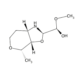 CO[C@@H](O)[C@@H]1N[C@H]2CCO[C@@H](C)[C@H]2O1